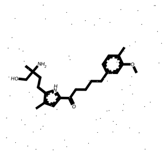 COc1cc(CCCCC(=O)c2cc(C)c(CCC(C)(N)CO)[nH]2)ccc1C